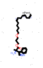 CCCCC/C=C\C/C=C\C/C=C\CCCCCOCCCOC(=O)C(C)(N)c1c[nH]c2ccccc12